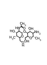 CC(=O)NC1[C@H](O[C@@H]2C(CO)O[C@@H](C)C(N)[C@H]2O)OC(CO)[C@H](C)[C@@H]1O